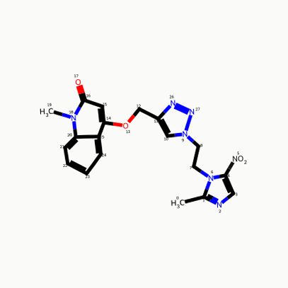 Cc1ncc([N+](=O)[O-])n1CCn1cc(COc2cc(=O)n(C)c3ccccc23)nn1